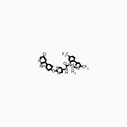 Cn1nc(C(F)(F)F)cc1-c1ccc(C(F)(F)F)cc1NC(=O)Nc1cnc(Oc2ccc(-c3cc(Cl)cnc3N)cc2)nc1